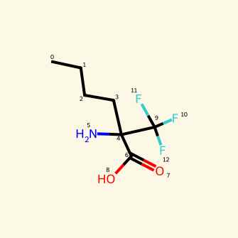 CCCCC(N)(C(=O)O)C(F)(F)F